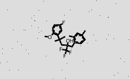 COc1ccc(F)cc1C(C)(C)CC(O)(Cc1ccc(C)cc1C)C(F)(F)F